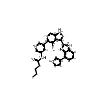 CCCCC(=O)Nc1cncc(-c2ncc3[nH]nc(-c4nc5c(-c6ccoc6)cccc5[nH]4)c3c2F)c1